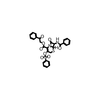 O=C(OCC(=O)c1ccccc1)C1=C(OS(=O)(=O)c2ccccc2)CS[C@H]2C(NC(=O)c3ccccc3)C(=O)N12